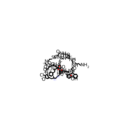 COc1cc2cc(c1Cl)N(C)C(=O)C[C@H](OC(=O)[C@H](C)N(C)C(=O)CCSSC[C@H](NC(=O)[C@@H]1CSSC[C@H](NC(=O)[C@H](N)Cc3ccccc3)C(=O)N[C@@H](Cc3ccc(O)cc3)C(=O)N[C@H](Cc3c[nH]c4ccccc34)C(=O)N[C@@H](CCCCN)C(=O)N[C@@H]([C@@H](C)O)C(=O)N1)C(N)=O)[C@]1(C)O[C@H]1[C@H](C)[C@@H]1C[C@@](O)(NC(=O)O1)[C@H](OC)/C=C/C=C(\C)C2